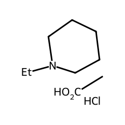 CC(=O)O.CCN1CCCCC1.Cl